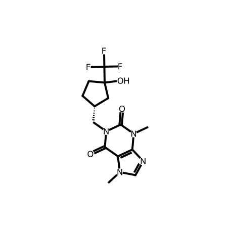 Cn1cnc2c1c(=O)n(C[C@@H]1CCC(O)(C(F)(F)F)C1)c(=O)n2C